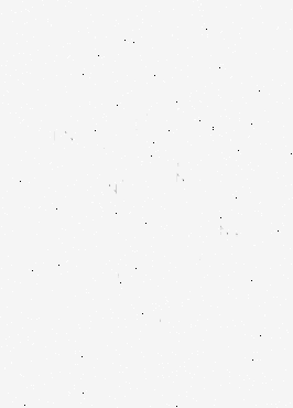 CCNC(=O)Nc1ncnc(CCl)c1F